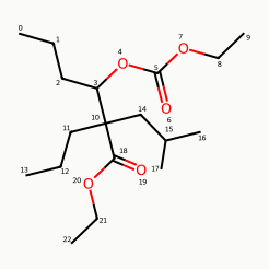 CCCC(OC(=O)OCC)C(CCC)(CC(C)C)C(=O)OCC